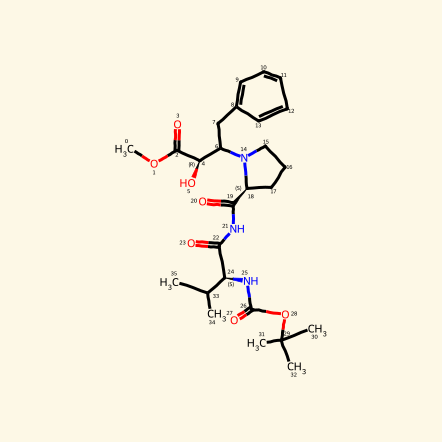 COC(=O)[C@H](O)C(Cc1ccccc1)N1CCC[C@H]1C(=O)NC(=O)[C@@H](NC(=O)OC(C)(C)C)C(C)C